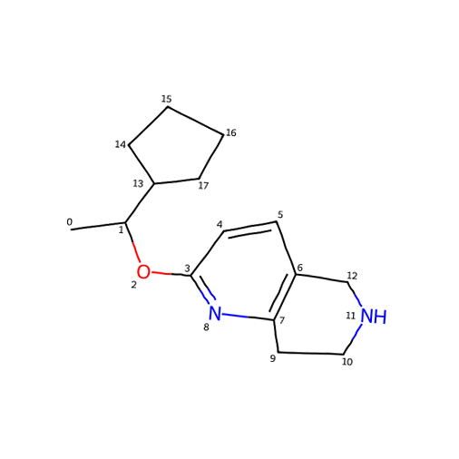 CC(Oc1ccc2c(n1)CCNC2)C1CCCC1